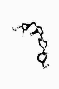 Cc1ccc(CN2CCC(N3CCN(c4ccc(O)cn4)CC3)C2=O)cc1F